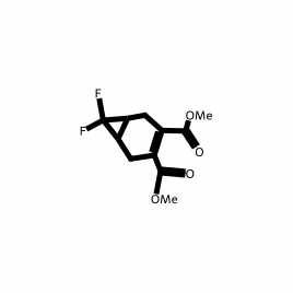 COC(=O)C1=C(C(=O)OC)CC2C(C1)C2(F)F